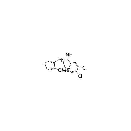 COc1ccccc1CN1Cc2cc(Cl)c(Cl)cc2C1=N